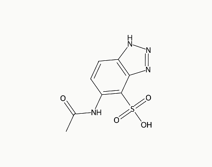 CC(=O)Nc1ccc2[nH]nnc2c1S(=O)(=O)O